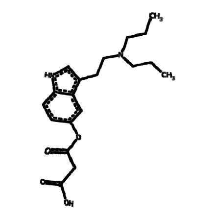 CCCN(CCC)CCc1c[nH]c2ccc(OC(=O)CC(=O)O)cc12